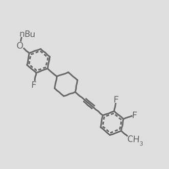 CCCCOc1ccc(C2CCC(C#Cc3ccc(C)c(F)c3F)CC2)c(F)c1